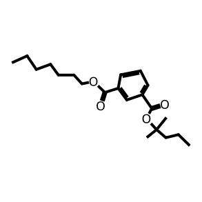 CCCCCCCOC(=O)c1cccc(C(=O)OC(C)(C)CCC)c1